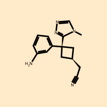 Cn1cnnc1[C@]1(c2cccc(N)c2)C[C@H](CC#N)C1